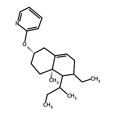 CCC(C)C1C(CC)CC=C2C[C@@H](Oc3ccccn3)CC[C@@]21C